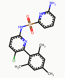 Cc1cc(C)c(-c2nc(NS(=O)(=O)c3cccc(N)n3)ccc2Cl)c(C)c1